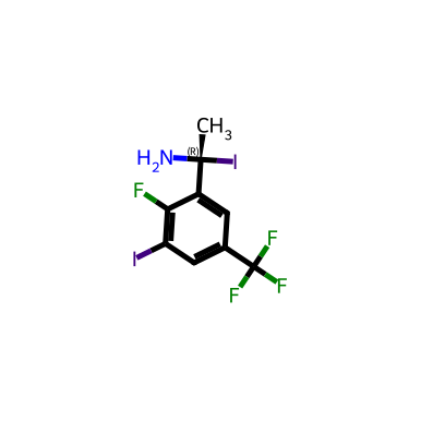 C[C@@](N)(I)c1cc(C(F)(F)F)cc(I)c1F